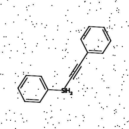 C(#Cc1ccccc1)[SiH2]c1ccccc1